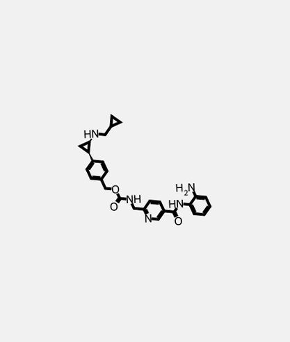 Nc1ccccc1NC(=O)c1ccc(CNC(=O)OCc2ccc([C@H]3C[C@@H]3NCC3CC3)cc2)nc1